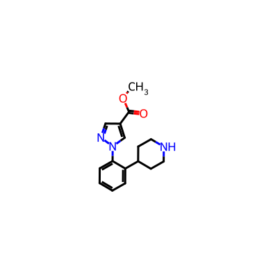 COC(=O)c1cnn(-c2ccccc2C2CCNCC2)c1